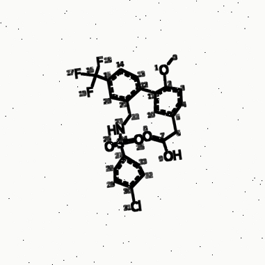 COc1ccc(CC(=O)O)cc1-c1ccc(C(F)(F)F)cc1CNS(=O)(=O)c1ccc(Cl)cc1